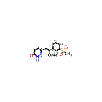 COc1c(C=Cc2ccc(=O)[nH]n2)cccc1S(C)(=O)=O